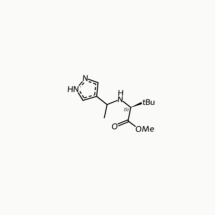 COC(=O)[C@@H](NC(C)c1cn[nH]c1)C(C)(C)C